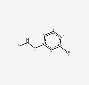 CNCc1ccnc(O)c1